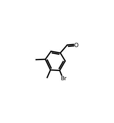 Cc1cc(C=O)cc(Br)c1C